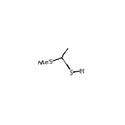 CCSC(C)SC